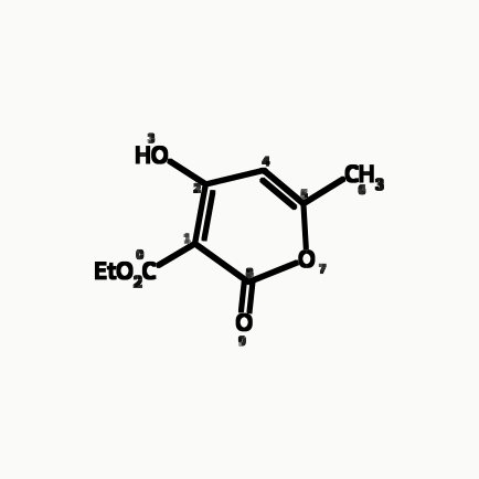 CCOC(=O)c1c(O)cc(C)oc1=O